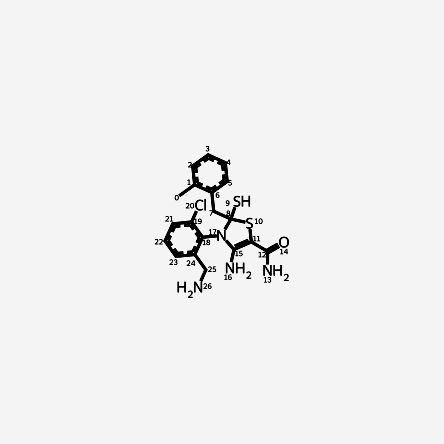 Cc1ccccc1CC1(S)SC(C(N)=O)=C(N)N1c1c(Cl)cccc1CN